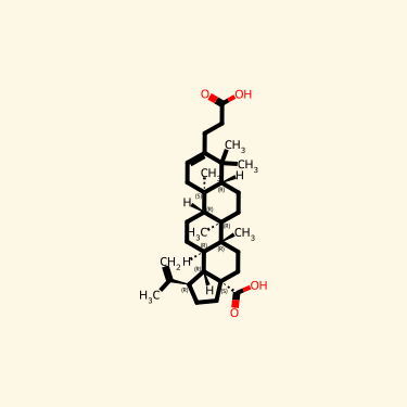 C=C(C)[C@@H]1CC[C@]2(C(=O)O)CC[C@]3(C)[C@H](CC[C@@H]4[C@@]5(C)CC=C(CCC(=O)O)C(C)(C)[C@@H]5CC[C@]43C)[C@@H]12